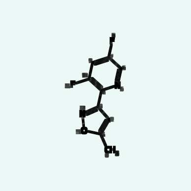 Cc1[c]c(-c2ncc(F)cc2F)no1